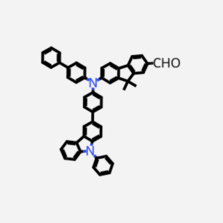 CC1(C)c2cc(C=O)ccc2-c2ccc(N(c3ccc(-c4ccccc4)cc3)c3ccc(-c4ccc5c(c4)c4ccccc4n5-c4ccccc4)cc3)cc21